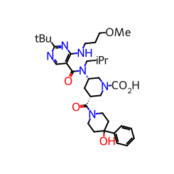 COCCCNc1nc(C(C)(C)C)ncc1C(=O)N(CC(C)C)[C@H]1C[C@@H](C(=O)N2CCC(O)(c3ccccc3)CC2)CN(C(=O)O)C1